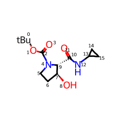 CC(C)(C)OC(=O)N1CC[C@H](O)[C@H]1C(=O)NC1CC1